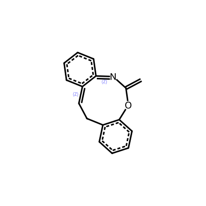 C=C1/N=c2/cccc/c2=C/Cc2ccccc2O1